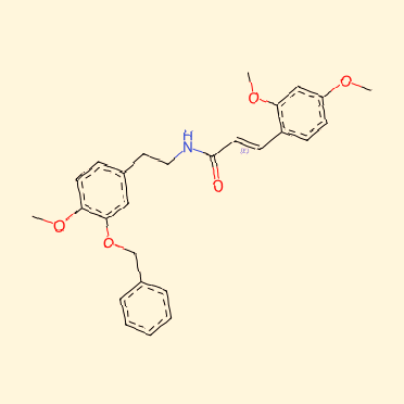 COc1ccc(/C=C/C(=O)NCCc2ccc(OC)c(OCc3ccccc3)c2)c(OC)c1